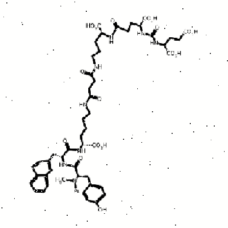 CC(=O)N(C)[C@H](Cc1ccc(O)cc1)C(=O)N[C@H](Cc1ccc2ccccc2c1)C(=O)N[C@H](CCCCNC(=O)CCC(=O)NCCC[C@H](NC(=O)CC[C@H](NC(=O)N[C@@H](CCC(=O)O)C(=O)O)C(=O)O)C(=O)O)C(=O)O